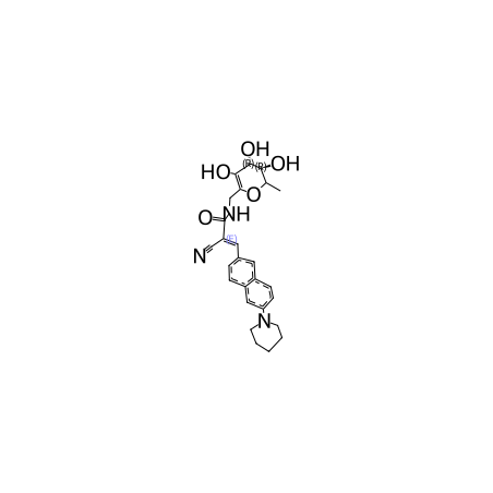 CC1OC(CNC(=O)/C(C#N)=C/c2ccc3cc(N4CCCCC4)ccc3c2)=C(O)[C@H](O)[C@H]1O